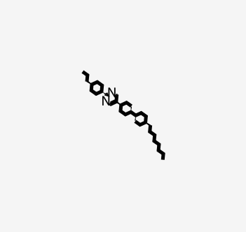 CCCCCCCC[C@H]1CC[C@H]([C@H]2CC[C@H](c3cnc([C@H]4CC[C@H](CCC)CC4)nc3)CC2)CC1